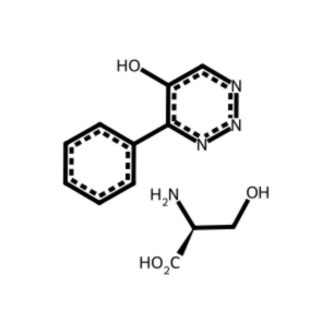 N[C@@H](CO)C(=O)O.Oc1cnnnc1-c1ccccc1